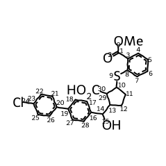 COC(=O)c1ccccc1SC1CCC(C(O)c2ccc(-c3ccc(Cl)cc3)cc2)C1C(=O)O